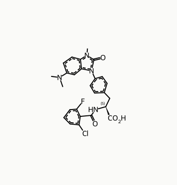 CN(C)c1ccc2c(c1)n(-c1ccc(C[C@H](NC(=O)c3c(F)cccc3Cl)C(=O)O)cc1)c(=O)n2C